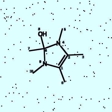 CC1=C(C)N(C)C(C)(O)N1C